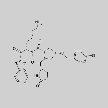 NCCCC[C@H](NC(=O)[C@@H]1C[C@@H](OCc2ccc(Cl)cc2)CN1C(=O)[C@H]1CCC(=O)N1)C(=O)c1nc2ccccc2o1